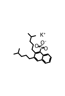 CC(C)CCCc1cc2ccccc2c(S(=O)(=O)[O-])c1CCCC(C)C.[K+]